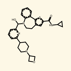 O=C(NC1CC1)c1cc2c(s1)-c1ccccc1N(C(O)c1cccc(C3CCN(C4COC4)CC3)n1)CC2